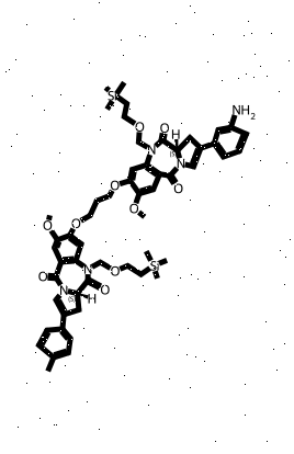 COc1cc2c(cc1OCCCOc1cc3c(cc1OC)C(=O)N1C=C(c4cccc(N)c4)C[C@H]1C(=O)N3COCC[Si](C)(C)C)N(COCC[Si](C)(C)C)C(=O)[C@@H]1CC(c3ccc(C)cc3)=CN1C2=O